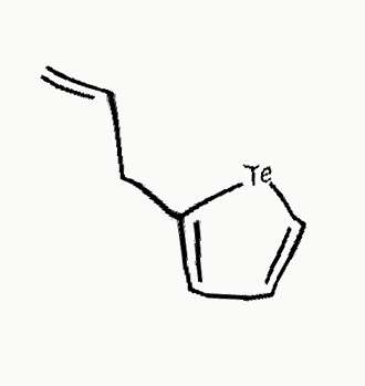 C=CCc1ccc[te]1